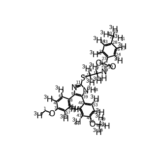 [3H]COc1c([3H])c([3H])c(-c2nc(SC([3H])([3H])C([3H])([3H])NS(=O)(=O)c3c([3H])c([3H])c(C([3H])([3H])[3H])c([3H])c3[3H])n([3H])c2-c2c([3H])c([3H])c(OC([3H])([3H])[3H])c([3H])c2[3H])c([3H])c1[3H]